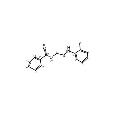 Cc1ccccc1NCCOC(=O)c1ccccc1